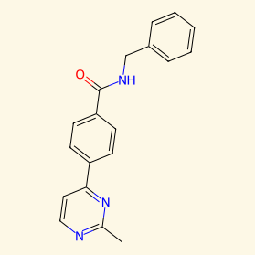 Cc1nccc(-c2ccc(C(=O)NCc3ccccc3)cc2)n1